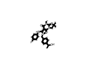 CC(O)c1ccc(Cn2nc3c(c2Nc2ccc(F)cc2)C(=O)N(C)C2=NC(C)(C)CN23)cc1